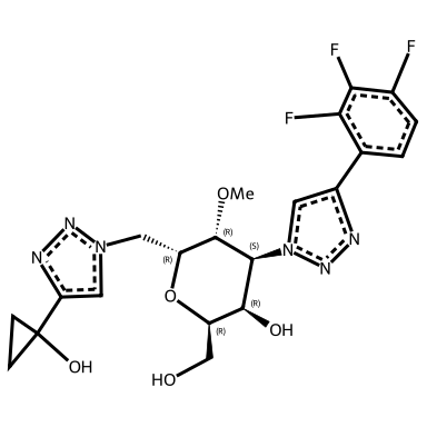 CO[C@@H]1[C@@H](n2cc(-c3ccc(F)c(F)c3F)nn2)[C@@H](O)[C@@H](CO)O[C@@H]1Cn1cc(C2(O)CC2)nn1